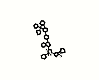 c1ccc(-c2nc(-c3ccc4sc5ccccc5c4c3)cc(-c3ccc(-c4ccc(-c5ccc6c(c5)C(c5ccccc5)(c5ccccc5)c5ccccc5-6)cc4)c4ccccc34)n2)cc1